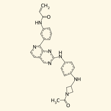 C=CC(=O)Nc1cccc(-c2nccc3cnc(Nc4ccc(NC5CN(C(C)=O)C5)cc4)nc23)c1